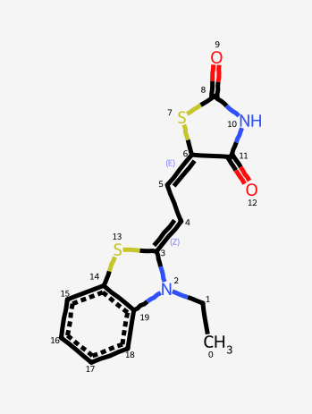 CCN1/C(=C/C=C2/SC(=O)NC2=O)Sc2ccccc21